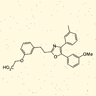 COc1cccc(-c2oc(CCc3cccc(OCC(=O)O)c3)nc2-c2cccc(C)c2)c1